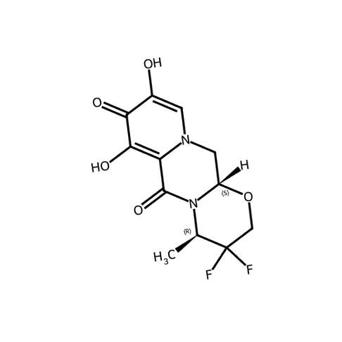 C[C@H]1N2C(=O)c3c(O)c(=O)c(O)cn3C[C@@H]2OCC1(F)F